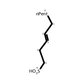 CCCCCCC=CCCS(=O)(=O)O